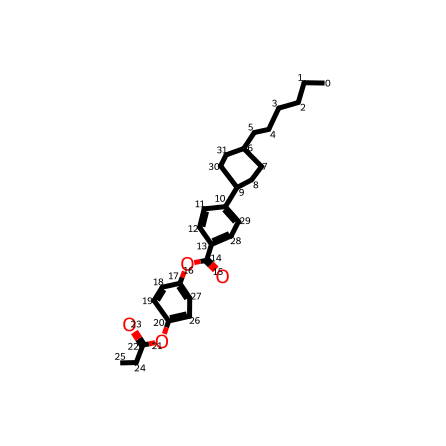 CCCCCCC1CCC(c2ccc(C(=O)Oc3ccc(OC(=O)CC)cc3)cc2)CC1